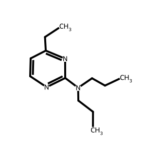 CCCN(CCC)c1nccc(CC)n1